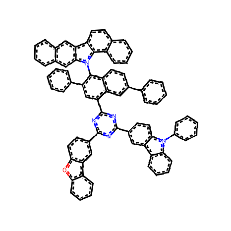 c1ccc(-c2ccc3c(-n4c5cc6ccccc6cc5c5ccc6ccccc6c54)c(-c4ccccc4)cc(-c4nc(-c5ccc6oc7ccccc7c6c5)nc(-c5ccc6c(c5)c5ccccc5n6-c5ccccc5)n4)c3c2)cc1